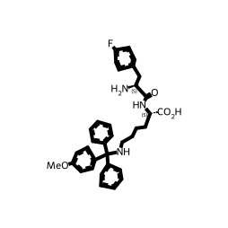 COc1ccc(C(NCCCC[C@H](NC(=O)[C@@H](N)Cc2ccc(F)cc2)C(=O)O)(c2ccccc2)c2ccccc2)cc1